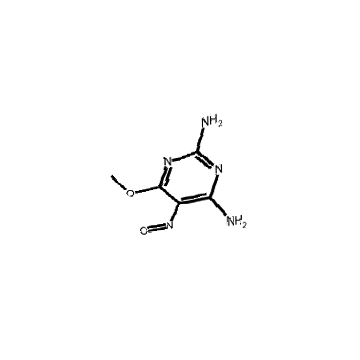 COc1nc(N)nc(N)c1N=O